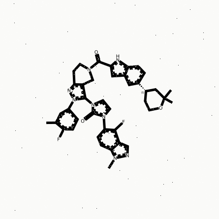 Cc1cc(-n2nc3c(c2-n2ccn(-c4ccc5c(cnn5C)c4F)c2=O)CN(C(=O)c2cc4cc([C@H]5CCOC(C)(C)C5)ccc4[nH]2)CC3)ccc1F